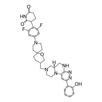 O=C1CCC(c2c(F)cc(N3CCC4(CCC(CN5CCN6c7cc(-c8ccccc8O)nnc7NC[C@H]6C5)CO4)CC3)cc2F)C(=O)N1